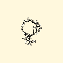 CC1CCCCCCn2c(=O)nc(c3cc(C4(C#N)CC4)c(=O)n(C)c32)N[C@H](C)c2cccc(c2F)C(F)(F)CCCN1C